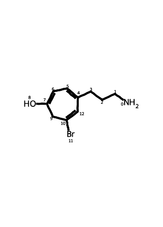 NCCCC1=CC=C(O)CC(Br)=C1